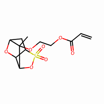 C=CC(=O)OCCOC1(C)C2CC3C(O2)C1OS3(=O)=O